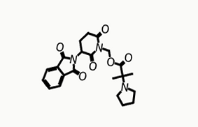 CC(C)(C(=O)OCN1C(=O)CCC(N2C(=O)c3ccccc3C2=O)C1=O)N1CCCC1